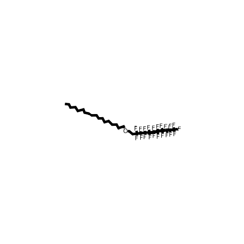 CCCCCCCCCCCCCCCCCCOCCC(F)(F)C(F)(F)C(F)(F)C(F)(F)C(F)(F)C(F)(F)C(F)(F)C(F)(F)C(F)(F)C(F)(F)F